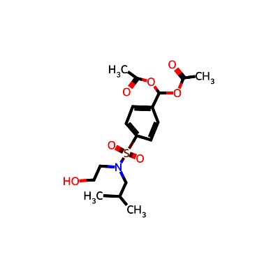 CC(=O)OC(OC(C)=O)c1ccc(S(=O)(=O)N(CCO)CC(C)C)cc1